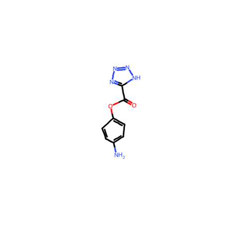 Nc1ccc(OC(=O)c2nnn[nH]2)cc1